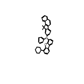 CC1(C)c2cc(N(c3ccccc3)c3cccc4c3oc3c(C5CCCCC5)cccc34)ccc2-c2ccc3ccccc3c21